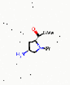 COC(=O)[C@H]1C[C@H](N)CN1C(C)C